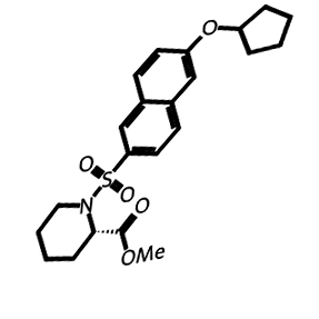 COC(=O)[C@@H]1CCCCN1S(=O)(=O)c1ccc2cc(OC3CCCC3)ccc2c1